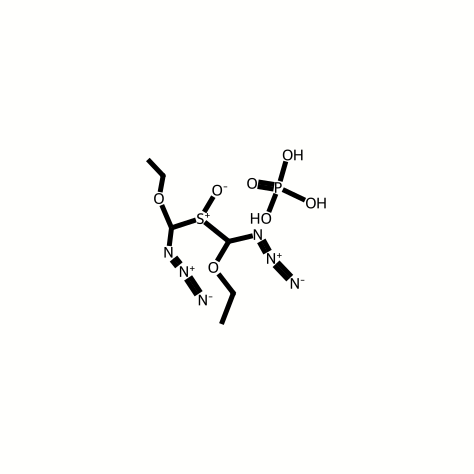 CCOC(N=[N+]=[N-])[S+]([O-])C(N=[N+]=[N-])OCC.O=P(O)(O)O